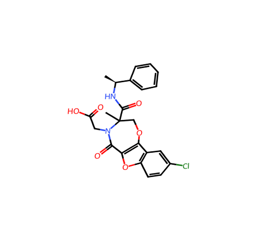 C[C@H](NC(=O)C1(C)COc2c(oc3ccc(Cl)cc23)C(=O)N1CC(=O)O)c1ccccc1